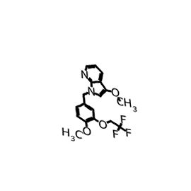 COc1ccc(Cn2cc(OC)c3cccnc32)cc1OCC(F)(F)F